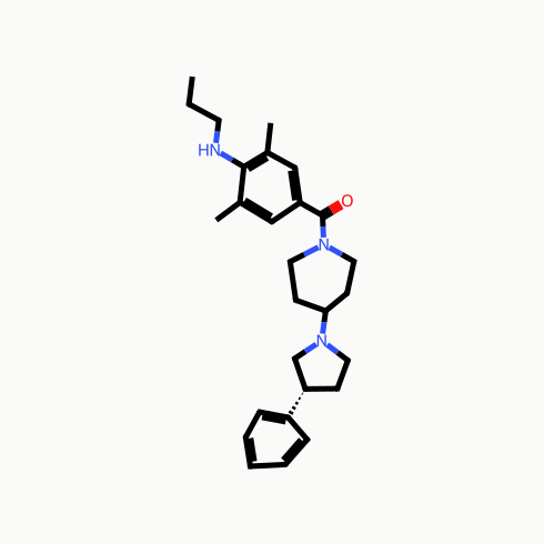 CCCNc1c(C)cc(C(=O)N2CCC(N3CC[C@H](c4ccccc4)C3)CC2)cc1C